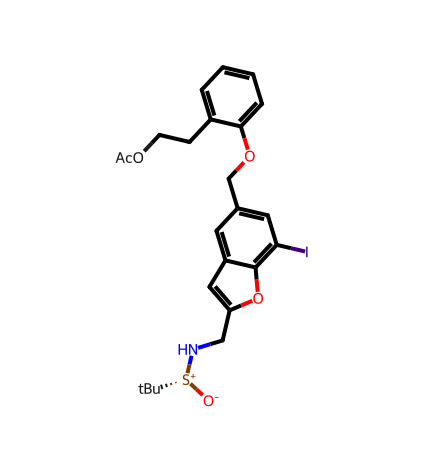 CC(=O)OCCc1ccccc1OCc1cc(I)c2oc(CN[S@+]([O-])C(C)(C)C)cc2c1